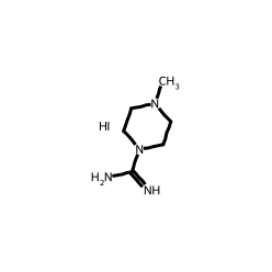 CN1CCN(C(=N)N)CC1.I